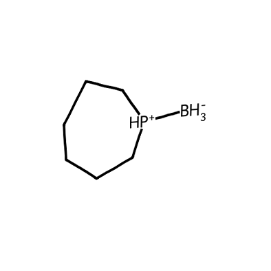 [BH3-][PH+]1CCCCCC1